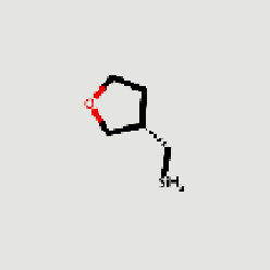 [SiH3]C[C@H]1CCOC1